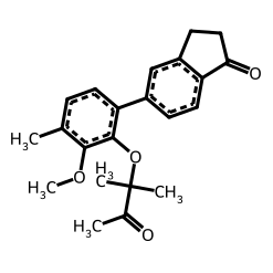 COc1c(C)ccc(-c2ccc3c(c2)CCC3=O)c1OC(C)(C)C(C)=O